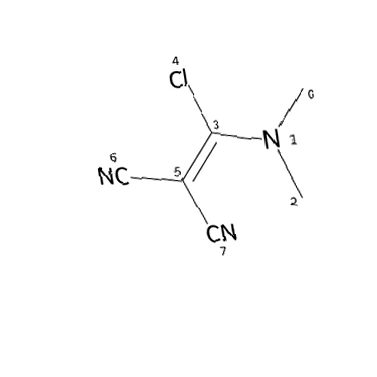 CN(C)C(Cl)=C(C#N)C#N